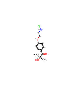 CC(C)(O)C(=O)c1ccc(OCCNCl)cc1